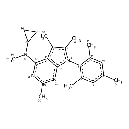 Cc1cc(C)c(-n2c(C)c(C)c3c(N(C)C4CC4)nc(C)nc32)c(C)c1